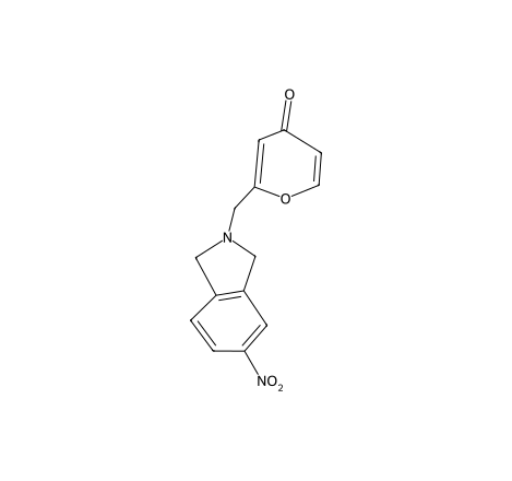 O=c1ccoc(CN2Cc3ccc([N+](=O)[O-])cc3C2)c1